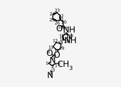 C[C@H]1[C@H](C#N)CN1C(=O)O[C@@H]1CC[C@H](c2cc(NC(=O)Cc3ccccc3)n[nH]2)C1